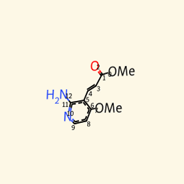 COC(=O)C=Cc1c(OC)ccnc1N